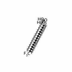 O=P(O)(O)OC(F)(F)C(F)(F)C(F)(F)C(F)(F)C(F)(F)C(F)(F)C(F)(F)C(F)(F)C(F)(F)C(F)(F)C(F)(F)C(F)(F)C(F)(F)C(F)(F)F